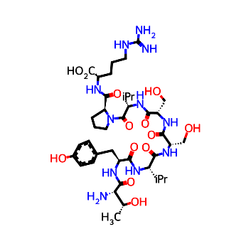 CC(C)[C@H](NC(=O)[C@H](Cc1ccc(O)cc1)NC(=O)[C@@H](N)[C@@H](C)O)C(=O)N[C@@H](CO)C(=O)N[C@@H](CO)C(=O)N[C@H](C(=O)N1CCC[C@H]1C(=O)N[C@@H](CCCNC(=N)N)C(=O)O)C(C)C